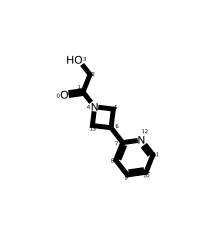 O=C(CO)N1CC(c2cc[c]cn2)C1